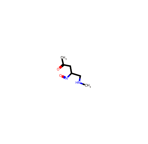 CNCC(CC(C)=O)N=O